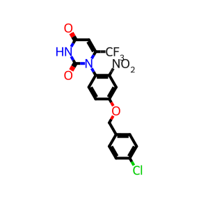 O=c1cc(C(F)(F)F)n(-c2ccc(OCc3ccc(Cl)cc3)cc2[N+](=O)[O-])c(=O)[nH]1